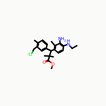 CCNc1ccc(C(c2ccc(C)c(CCl)c2)C(C)(C)C(=O)OC)c(C)c1N